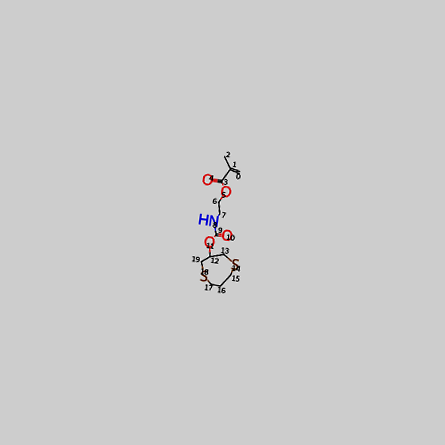 C=C(C)C(=O)OCCNC(=O)OC1CSCCCSC1